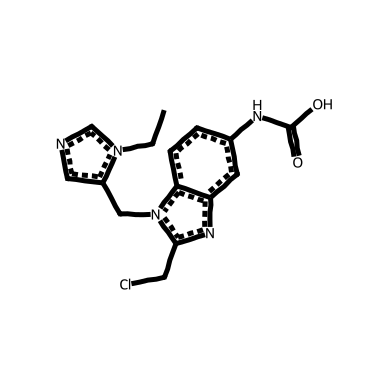 CCn1cncc1Cn1c(CCl)nc2cc(NC(=O)O)ccc21